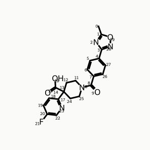 Cc1nc(-c2ccc(C(=O)N3CCC(C(=O)O)(c4ccc(F)cn4)CC3)cc2)no1